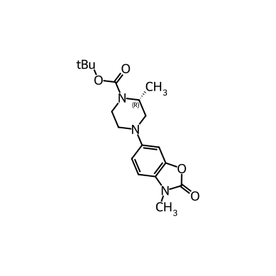 C[C@@H]1CN(c2ccc3c(c2)oc(=O)n3C)CCN1C(=O)OC(C)(C)C